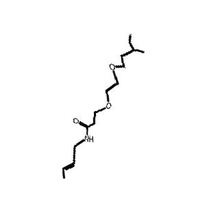 C/C=C/CNC(=O)CCOCCOCCC(C)C